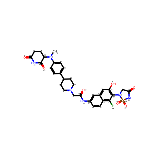 CN(c1ccc(C2CCN(CC(=O)Nc3ccc4c(F)c(N5CC(=O)NS5(=O)=O)c(O)cc4c3)CC2)cc1)C1CCC(=O)NC1=O